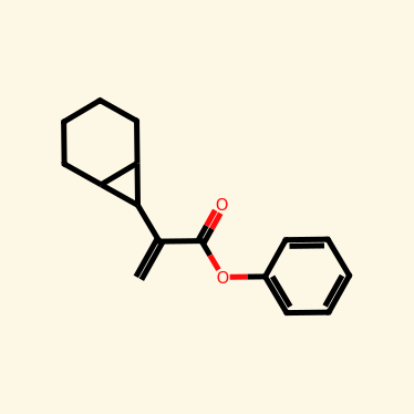 C=C(C(=O)Oc1ccccc1)C1C2CCCCC21